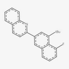 CC(C)(C)c1cc(-c2ccc3ccccc3n2)cc2cccc(F)c12